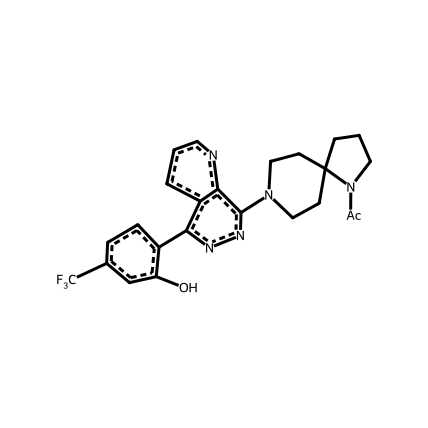 CC(=O)N1CCCC12CCN(c1nnc(-c3ccc(C(F)(F)F)cc3O)c3cccnc13)CC2